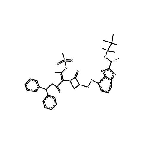 CC(OS(C)(=O)=O)=C(C(=O)OC(c1ccccc1)c1ccccc1)N1C[C@H](SSc2cccc3sc([C@@H](C)O[Si](C)(C)C(C)(C)C)nc23)C1=O